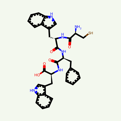 N[C@@H](CS)C(=O)N[C@@H](Cc1c[nH]c2ccccc12)C(=O)N[C@@H](Cc1ccccc1)C(=O)N[C@@H](Cc1c[nH]c2ccccc12)C(=O)O